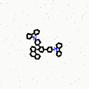 c1ccc2c(c1)ccc1cccc(-c3ccc(-c4ccc(-n5c6ccccc6c6ccccc65)cc4)cc3-c3ccc(-n4c5ccccc5c5ccccc54)cc3)c12